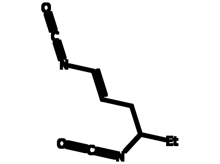 CCC(CC=CN=C=O)N=C=O